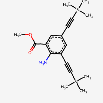 COC(=O)c1cc(C#C[Si](C)(C)C)cc(C#C[Si](C)(C)C)c1N